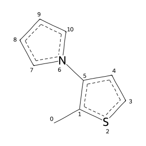 Cc1sccc1-n1cccc1